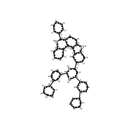 c1ccc(-c2cccc(-c3cc(-c4ccc5oc6ccc7c(-c8ccccc8)nc8ccccc8c7c6c5c4)nc(-c4cccc(-c5ccccc5)c4)n3)c2)cc1